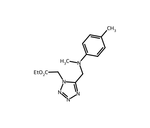 CCOC(=O)Cn1nnnc1CN(C)c1ccc(C)cc1